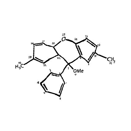 COC1(c2ccccc2)c2cc(C)ccc2OC2C=CC(C)=CC21